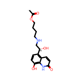 [CH2]C(=O)OCCCCNC[C@H](O)c1ccc(O)c2[nH]c(=O)ccc12